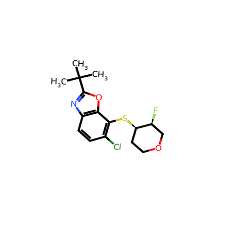 CC(C)(C)c1nc2ccc(Cl)c(S[C@@H]3CCOC[C@@H]3F)c2o1